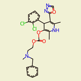 CC1=C(OC(=O)OCCN(C)Cc2ccccc2)C(c2cccc(Cl)c2Cl)C(c2nnco2)=C(C)N1